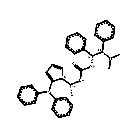 C[C@@H](NC(=S)N[C@H](c1ccccc1)[C@@H](c1ccccc1)N(C)C)[C@@H]1C=CC=C1P(c1ccccc1)c1ccccc1